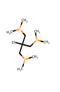 CCC(CP(C)C)(CP(C)C)CP(C)C